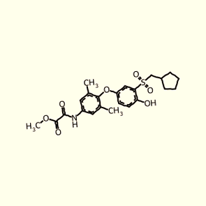 COC(=O)C(=O)Nc1cc(C)c(Oc2ccc(O)c(S(=O)(=O)CC3CCCC3)c2)c(C)c1